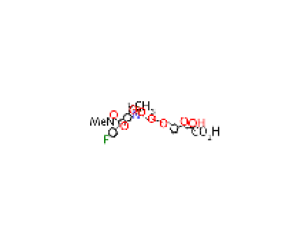 CNC(=O)c1c(-c2ccc(F)cc2)oc2cc(N(CCCOCCOCc3cccc(C(=O)/C=C(\O)C(=O)O)c3)S(C)(=O)=O)c(C3CC3)cc12